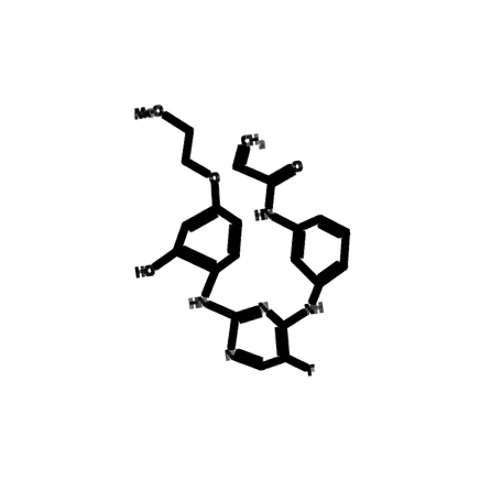 C=CC(=O)Nc1cccc(Nc2nc(Nc3ccc(OCCOC)cc3O)ncc2F)c1